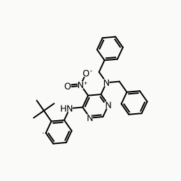 CC(C)(C)c1[c]cccc1Nc1ncnc(N(Cc2ccccc2)Cc2ccccc2)c1[N+](=O)[O-]